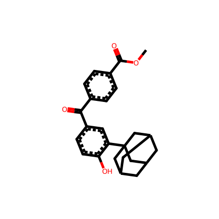 COC(=O)c1ccc(C(=O)c2ccc(O)c(C34CC5CC(CC(C5)C3)C4)c2)cc1